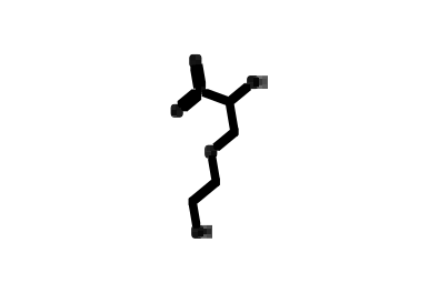 O=P(=O)C(O)COCCO